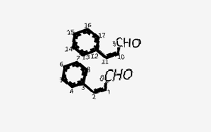 O=C/C=C\c1ccccc1.O=C/C=C\c1ccccc1